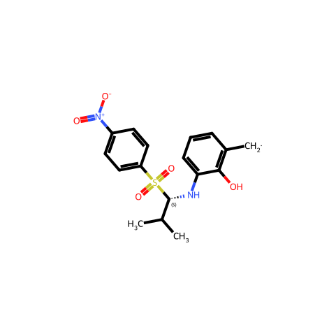 [CH2]c1cccc(N[C@H](C(C)C)S(=O)(=O)c2ccc([N+](=O)[O-])cc2)c1O